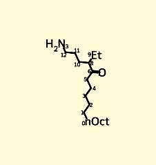 CCCCCCCCCCCCCC(=O)C(CC)CCCN